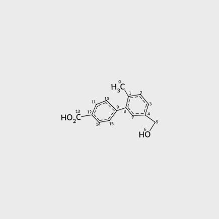 Cc1ccc(CO)cc1-c1ccc(C(=O)O)cc1